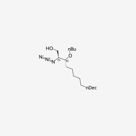 CCCCCCCCCCCCCCC[C@@H](OCCCC)[C@H](CO)N=[N+]=[N-]